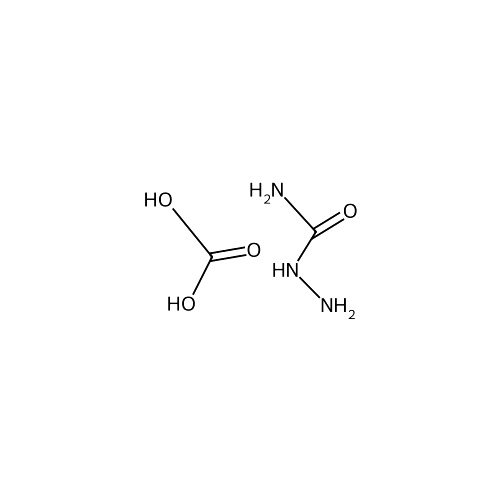 NNC(N)=O.O=C(O)O